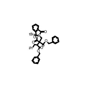 CC(C)CC(C(=O)OCc1ccccc1)C(CN1C(=O)c2ccccc2C1=O)(C(=O)OCc1ccccc1)C(=O)OC(C)(C)C